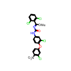 COC(=NC(=O)Nc1ccc(Oc2ccc([N+](=O)[O-])c(Cl)c2)c(Cl)c1)c1c(Cl)cccc1Cl